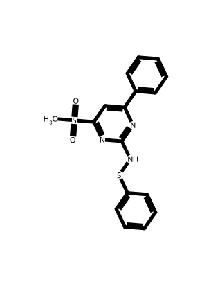 CS(=O)(=O)c1cc(-c2ccccc2)nc(NSc2ccccc2)n1